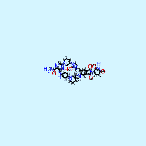 CN1CCN([C@H]2CCCN(c3cnc(C(N)=O)c(Nc4ccc(N5CCCC6(C5)CN(c5ccc7c(c5)C(=O)N(C5CCC(=O)NC5=O)C7=O)C6)cc4)n3)C2)C1O